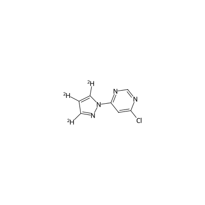 [2H]c1nn(-c2cc(Cl)ncn2)c([2H])c1[2H]